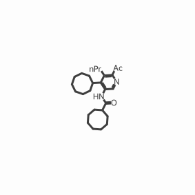 CCCc1c(C(C)=O)ncc(NC(=O)C2CCCCCCC2)c1C1CCCCCCC1